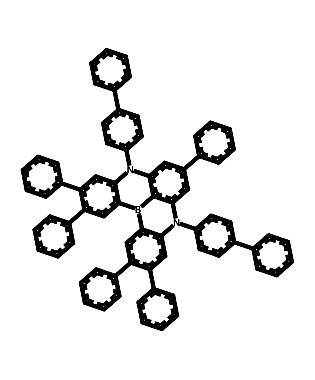 c1ccc(-c2ccc(N3c4cc(-c5ccccc5)c(-c5ccccc5)cc4B4c5cc(-c6ccccc6)c(-c6ccccc6)cc5N(c5ccc(-c6ccccc6)cc5)c5cc(-c6ccccc6)cc3c54)cc2)cc1